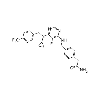 NC(=O)Cc1ccc(CNc2ncnc(N(Cc3ccc(C(F)(F)F)nc3)C3CC3)c2F)cc1